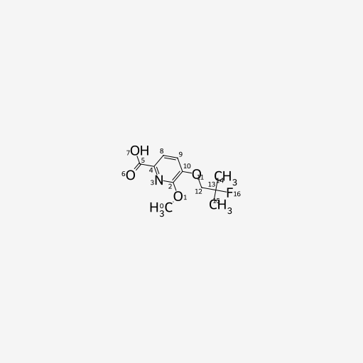 COc1nc(C(=O)O)ccc1OCC(C)(C)F